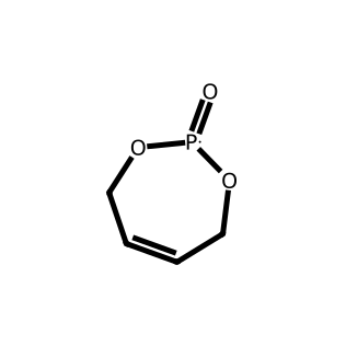 O=[P]1OCC=CCO1